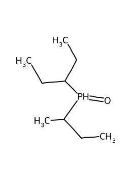 CCC(C)[PH](=O)C(CC)CC